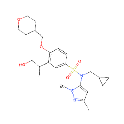 CCn1nc(C)cc1N(CC1CC1)S(=O)(=O)c1ccc(OCC2CCOCC2)c(C(C)CO)c1